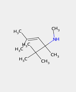 CNC(C)(C=C(C)C)C(C)(C)C